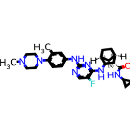 Cc1cc(Nc2ncc(F)c(NC3[C@H]4CC[C@H](C4)[C@@H]3C(=O)NC3CC3)n2)ccc1N1CCN(C)CC1